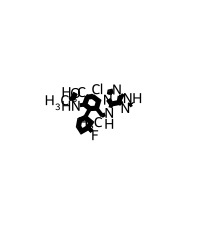 CC(=O)Nc1c(C)c(Cl)cc(C(C)Nc2ncnc3[nH]cnc23)c1-c1cccc(F)c1